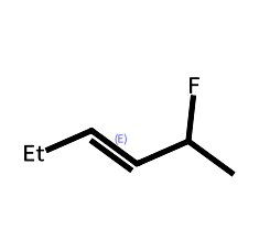 CC/C=C/C(C)F